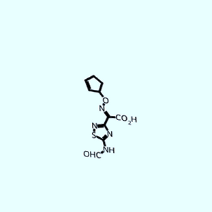 O=CNc1nc(C(=NOC2C=CCC2)C(=O)O)ns1